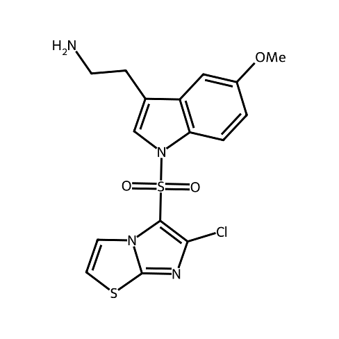 COc1ccc2c(c1)c(CCN)cn2S(=O)(=O)c1c(Cl)nc2sccn12